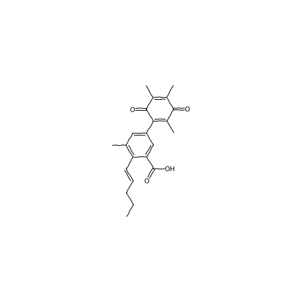 CCCC=Cc1c(C)cc(C2=C(C)C(=O)C(C)=C(C)C2=O)cc1C(=O)O